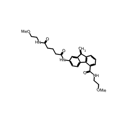 C=C1c2cc(NC(=O)CCCC(=O)NCCOC)ccc2-c2c1cccc2C(=O)NCCOC